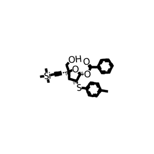 Cc1ccc(S[C@@H]2C[C@@](C#C[Si](C)(C)C)(CO)O[C@@H]2OC(=O)c2ccccc2)cc1